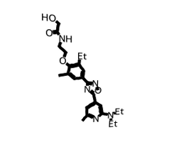 CCc1cc(-c2noc(-c3cc(C)nc(N(CC)CC)c3)n2)cc(C)c1OCCNC(=O)CO